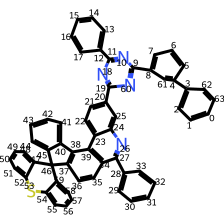 c1ccc(-c2cccc(-c3nc(-c4ccccc4)nc(-c4ccc5c(c4)nc(-c4ccccc4)c4ccc6c(c45)-c4ccccc4C64c5ccccc5Sc5ccccc54)n3)c2)cc1